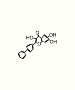 O=c1c(O)c(-c2ccc(-c3ccccc3)cc2)oc2cc(O)c(O)cc12